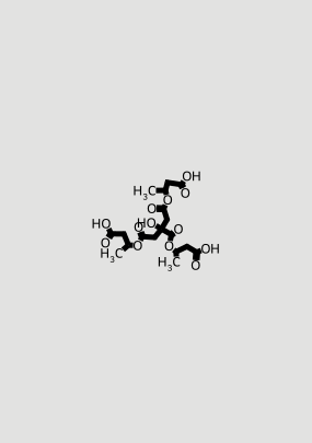 CC(CC(=O)O)OC(=O)CC(O)(CC(=O)OC(C)CC(=O)O)C(=O)OC(C)CC(=O)O